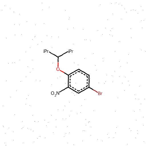 CC(C)C(Oc1ccc(Br)cc1[N+](=O)[O-])C(C)C